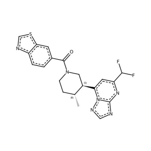 C[C@@H]1CCN(C(=O)c2ccc3ncsc3c2)C[C@H]1c1cc(C(F)F)nc2ncnn12